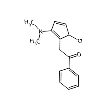 CN(C)C1=C(CC(=O)c2ccccc2)C(Cl)C=C1